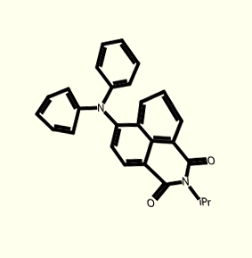 CC(C)N1C(=O)c2cccc3c(N(c4ccccc4)c4ccccc4)ccc(c23)C1=O